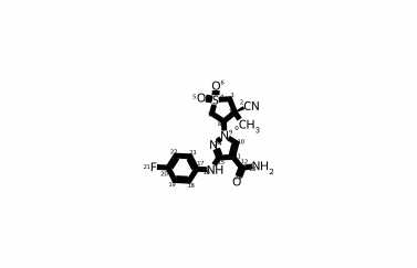 C[C@@]1(C#N)CS(=O)(=O)CC1n1cc(C(N)=O)c(Nc2ccc(F)cc2)n1